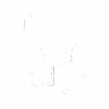 OCCc1c[nH]c2nccc(Cl)c12